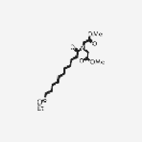 CCOSCCCCCCCCCCC(=O)N(CC(=O)OC)CC(=O)OC